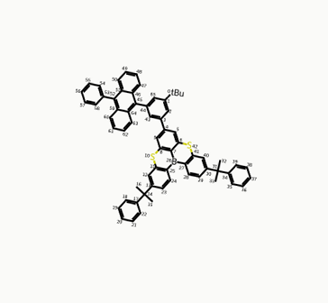 CC(C)(C)c1cc(-c2cc3c4c(c2)Sc2cc(C(C)(C)c5ccccc5)ccc2B4c2ccc(C(C)(C)c4ccccc4)cc2S3)cc(-c2c3ccccc3c(-c3ccccc3)c3ccccc23)c1